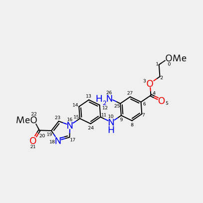 COCCOC(=O)c1ccc(Nc2cccc(-n3cnc(C(=O)OC)c3)c2)c(N)c1